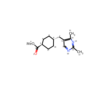 COC(=O)[C@H]1CC[C@H](Cc2cnc(C)nc2C)CC1